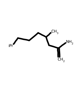 C=C(N)CC(C)CCCC(C)C